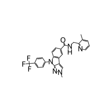 Cc1cccnc1CNC(=O)c1ccc2c(c1)c1cn(C)nc1n2-c1ccc(C(F)(F)F)cc1